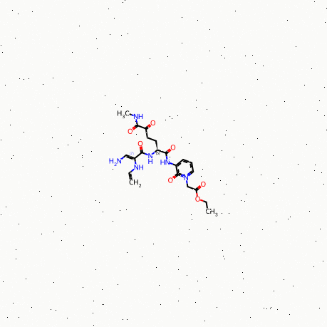 C=CN/C(=C\N)C(=O)N[C@@H](CCC(=O)C(=O)NC)C(=O)Nc1cccn(CC(=O)OCC)c1=O